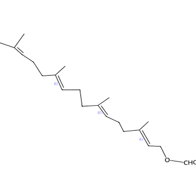 CC(C)=CCC/C(C)=C/CC/C(C)=C/CC/C(C)=C/COC=O